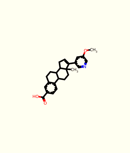 COc1cncc(C2=CCC3C4CCc5cc(C(=O)O)ccc5C4CCC23C)c1